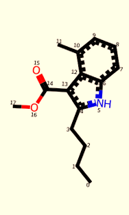 CCCCc1[nH]c2cccc(C)c2c1C(=O)OC